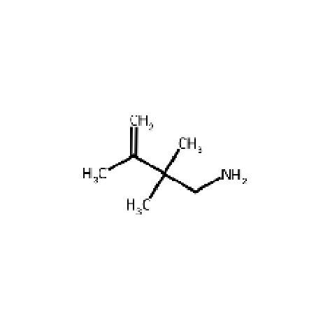 C=C(C)C(C)(C)CN